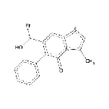 CCC(O)c1cc2scc(C)n2c(=O)c1-c1ccccc1